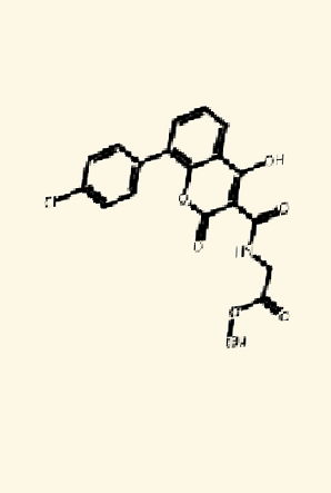 CC(C)(C)OC(=O)CNC(=O)c1c(O)c2cccc(-c3ccc(Cl)cc3)c2oc1=O